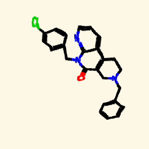 O=c1c2c(c3cccnc3n1Cc1ccc(Cl)cc1)CCN(Cc1ccccc1)C2